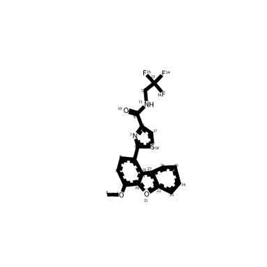 COc1ccc(-c2nc(C(=O)NCC(F)(F)F)cs2)c2c1oc1ccccc12